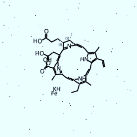 C=Cc1c(C)c2cc3nc(c(CC(=O)O)c4nc(cc5[nH]c(cc1[nH]2)c(C)c5CC)C(C)=C4C(=O)O)[C@@H](CCC(=O)O)[C@@H]3C.[Fe].[KH]